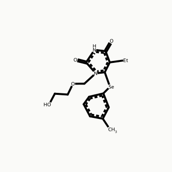 CCc1c([Se]c2cccc(C)c2)n(COCCO)c(=O)[nH]c1=O